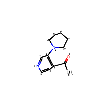 CC(=O)c1ccn[c]c1N1CCCCC1